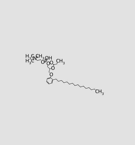 CCCCCCCCCCCCCCCCc1ccccc1OCC(COP(O)OCC[N+](C)(C)C)OC(=O)CC